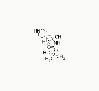 CC(C)(CC1(F)CCNCC1)NC(=O)OC(C)(C)C